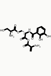 C=C([AsH2])C(=O)OC(=O)[C@H](COC(=O)[C@@H](N)CO)NC(=O)c1cccc(O)c1O